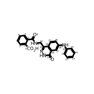 O=C(O)c1ccccc1C(=O)NCc1n[nH]c(=O)c2cc(Nc3ccccc3)ccc12